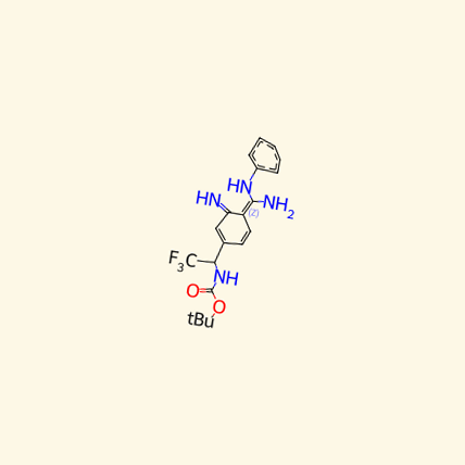 CC(C)(C)OC(=O)NC(C1=CC(=N)/C(=C(/N)Nc2ccccc2)C=C1)C(F)(F)F